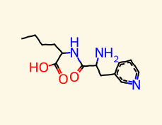 CCCCC(NC(=O)C(N)Cc1cccnc1)C(=O)O